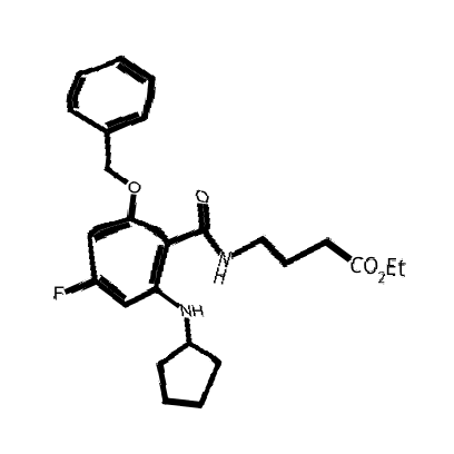 CCOC(=O)CCCNC(=O)c1c(NC2CCCC2)cc(F)cc1OCc1ccccc1